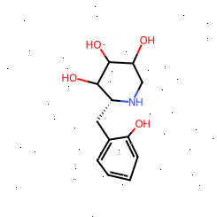 Oc1ccccc1C[C@H]1NCC(O)C(O)C1O